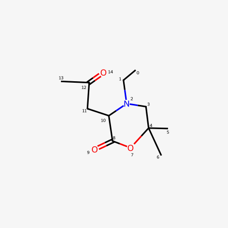 CCN1CC(C)(C)OC(=O)C1CC(C)=O